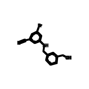 N#Cc1cc(Br)cc(NCc2cccc(CO)c2)c1